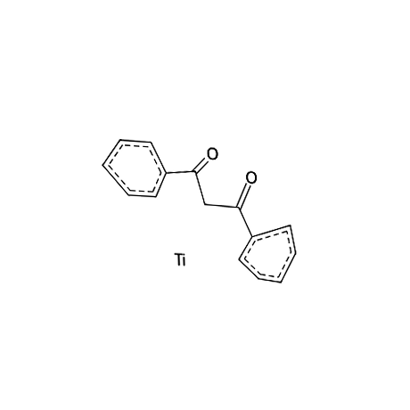 O=C(CC(=O)c1ccccc1)c1ccccc1.[Ti]